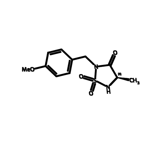 COc1ccc(CN2C(=O)[C@@H](C)NS2(=O)=O)cc1